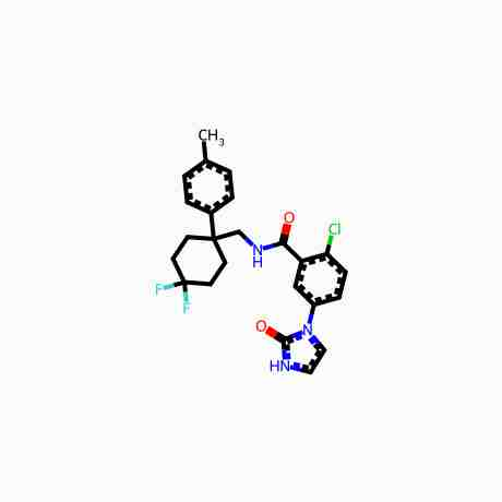 Cc1ccc(C2(CNC(=O)c3cc(-n4cc[nH]c4=O)ccc3Cl)CCC(F)(F)CC2)cc1